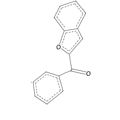 O=C(c1c[c]ccc1)c1cc2ccccc2o1